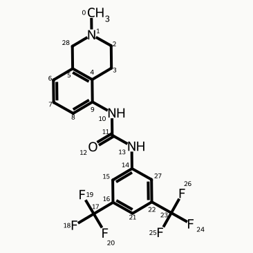 CN1CCc2c(cccc2NC(=O)Nc2cc(C(F)(F)F)cc(C(F)(F)F)c2)C1